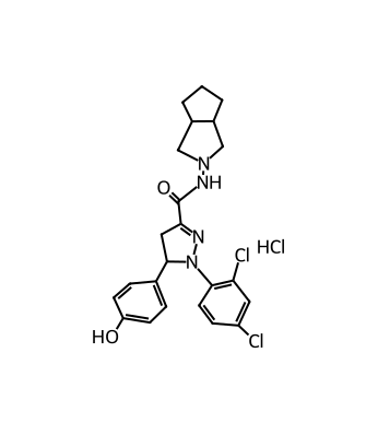 Cl.O=C(NN1CC2CCCC2C1)C1=NN(c2ccc(Cl)cc2Cl)C(c2ccc(O)cc2)C1